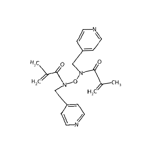 C=C(C)C(=O)N(Cc1ccncc1)ON(Cc1ccncc1)C(=O)C(=C)C